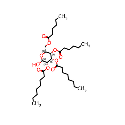 CCCCCCCC(=O)O[C@@H]1[C@H](OC(=O)CCCCCCC)[C@@H](O)O[C@H](COC(=O)CCCCC)[C@H]1OC(=O)CCCCC